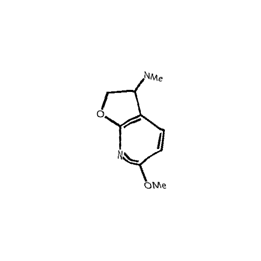 CNC1COc2nc(OC)ccc21